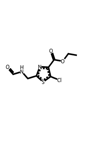 CCOC(=O)c1nc(CNC=O)sc1Cl